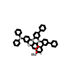 Cc1cc2c3c(c1)N(c1ccc(-c4ccccc4)cc1-c1ccc(C(C)(C)C)cc1)c1cc(-c4ccccc4)ccc1B3c1ccc(N(c3ccccc3)c3ccccc3)cc1O2